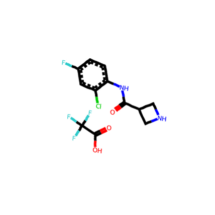 O=C(Nc1ccc(F)cc1Cl)C1CNC1.O=C(O)C(F)(F)F